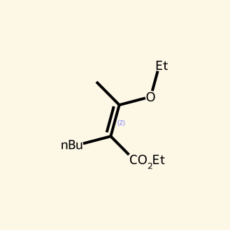 CCCC/C(C(=O)OCC)=C(\C)OCC